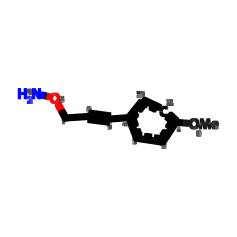 COc1ccc(C#CCON)cc1